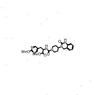 COC(=O)C(Cc1cnc(OC)nc1)NC(=O)N1CCC(N2Cc3ccccc3NC2=O)CC1